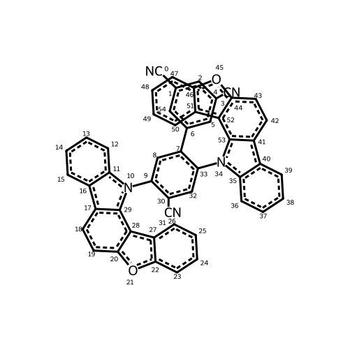 N#Cc1cc(C#N)cc(-c2cc(-n3c4ccccc4c4ccc5oc6ccccc6c5c43)c(C#N)cc2-n2c3ccccc3c3ccc4oc5ccccc5c4c32)c1